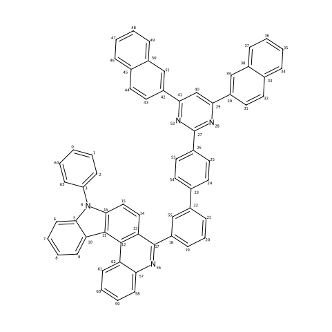 c1ccc(-n2c3ccccc3c3c4c(ccc32)c(-c2cccc(-c3ccc(-c5nc(-c6ccc7ccccc7c6)cc(-c6ccc7ccccc7c6)n5)cc3)c2)nc2ccccc24)cc1